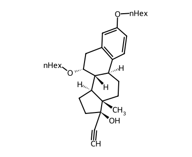 C#C[C@]1(O)CC[C@H]2[C@H]3[C@H](CC[C@@]21C)c1ccc(OCCCCCC)cc1C[C@H]3OCCCCCC